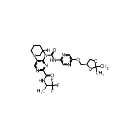 C[C@@H](NC(=O)c1ncc2c(n1)N(C(=O)Nc1cnc(OC[C@H]3COC(C)(C)O3)cn1)[C@H]1CCCN2C1)C(F)(F)F